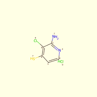 Cl.Nc1nccc(S)c1Cl